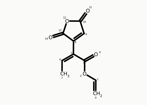 C=COC(=O)C(=CC)C1=CC(=O)OC1=O